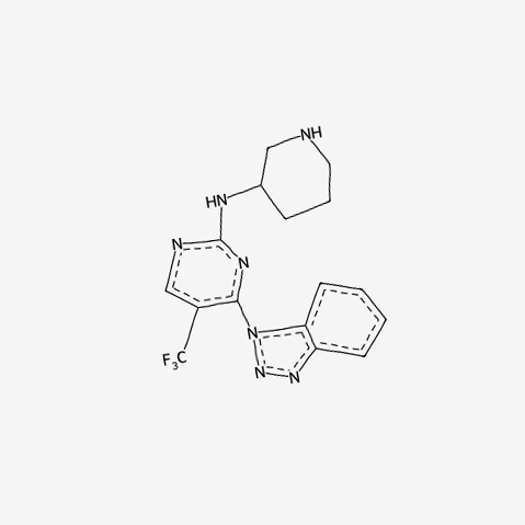 FC(F)(F)c1cnc(NC2CCCNC2)nc1-n1nnc2ccccc21